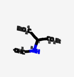 CCOC(=O)C(N[C]=O)C(=O)OCC